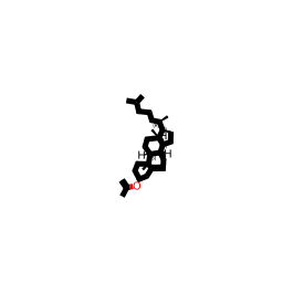 C=C(C)O[C@H]1CC[C@@]2(C)C(=CC[C@H]3[C@@H]4CC[C@H]([C@H](C)CCCC(C)C)[C@@]4(C)CC[C@@H]32)C1